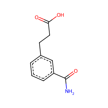 NC(=O)c1cccc(CCC(=O)O)c1